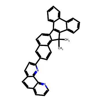 CC1(C)c2c(ccc3cc(-c4ccc5ccc6cccnc6c5n4)ccc23)-c2c1c1ccccc1c1ccccc21